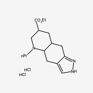 CCCN1CC(C(=O)OCC)CC2Cc3n[nH]cc3CC21.Cl.Cl